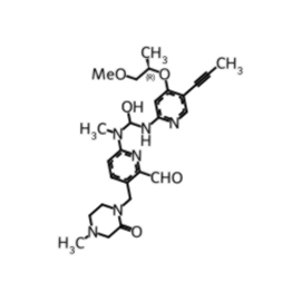 CC#Cc1cnc(NC(O)N(C)c2ccc(CN3CCN(C)CC3=O)c(C=O)n2)cc1O[C@H](C)COC